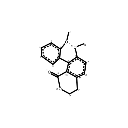 COc1ccccc1-c1c(OC)ccc2c1C(=O)OCC2